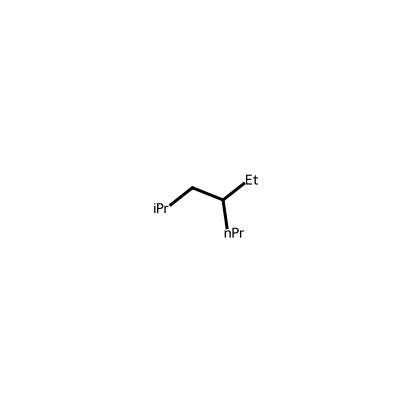 [CH2]C(C)CC(CC)CCC